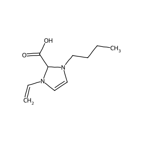 C=CN1C=CN(CCCC)C1C(=O)O